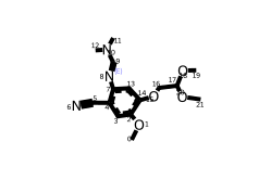 COc1cc(C#N)c(/N=C/N(C)C)cc1OCC(OC)OC